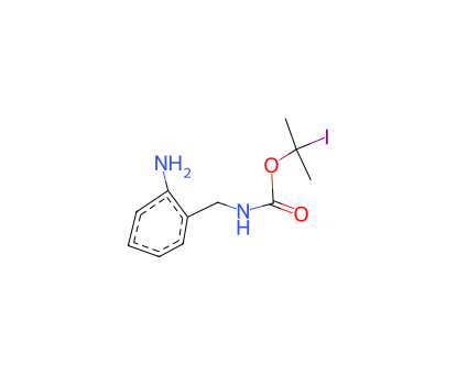 CC(C)(I)OC(=O)NCc1ccccc1N